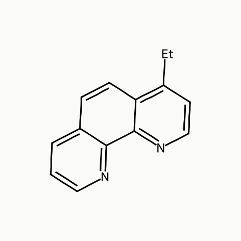 CCc1ccnc2c1ccc1cccnc12